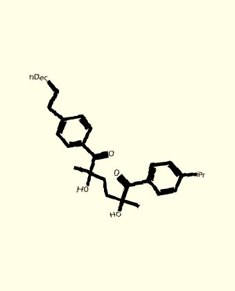 CCCCCCCCCCCCc1ccc(C(=O)C(C)(O)CCC(C)(O)C(=O)c2ccc(C(C)C)cc2)cc1